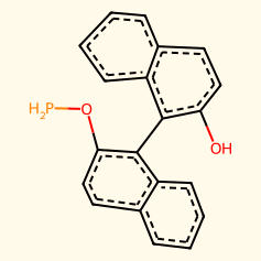 Oc1ccc2ccccc2c1-c1c(OP)ccc2ccccc12